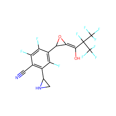 N#Cc1c(F)c(F)c(C2O/C2=C(/O)C(F)(C(F)(F)F)C(F)(F)F)c(F)c1C1CN1